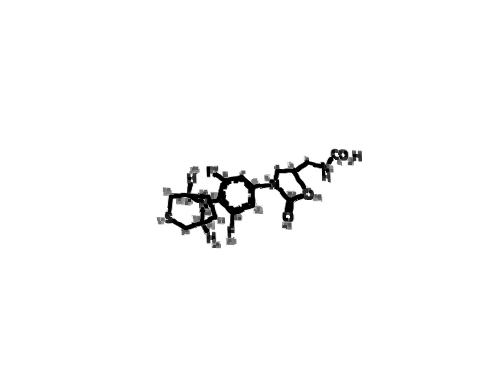 O=C(O)NCC1CN(c2cc(F)c(N3[C@@H]4CC[C@H]3CSC4)c(F)c2)C(=O)O1